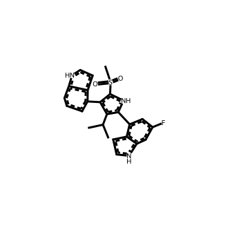 CC(C)c1c(-c2cc(F)cc3[nH]ccc23)[nH]c(S(C)(=O)=O)c1-c1cccc2[nH]ccc12